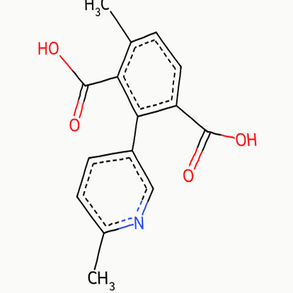 Cc1ccc(-c2c(C(=O)O)ccc(C)c2C(=O)O)cn1